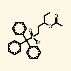 CCC(CCP(=O)(Br)C(c1ccccc1)(c1ccccc1)c1ccccc1)OC(C)=O